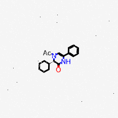 CC(=O)N1C=C(c2ccccc2)NC(=O)[C@@H]1C1CCCCC1